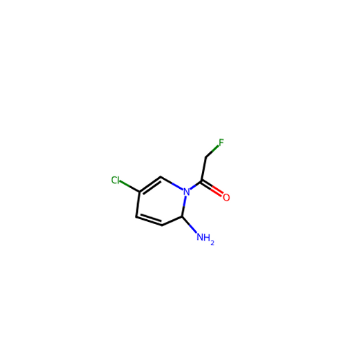 NC1C=CC(Cl)=CN1C(=O)CF